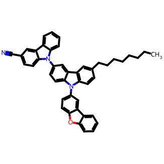 CCCCCCCCc1ccc2c(c1)c1cc(-n3c4ccccc4c4cc(C#N)ccc43)ccc1n2-c1ccc2oc3ccccc3c2c1